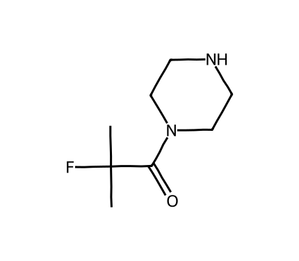 CC(C)(F)C(=O)N1CCNCC1